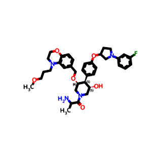 COCCCN1CCOc2ccc(CO[C@H]3CN(C(=O)C(C)N)C[C@@H](O)[C@@H]3c3ccc(OC4CCN(c5cccc(F)c5)C4)cc3)cc21